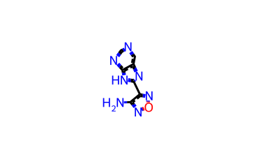 Nc1nonc1-c1nc2cncnc2[nH]1